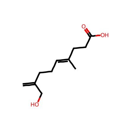 C=C(CO)CC/C=C(\C)CCC(=O)O